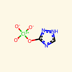 [O-][Cl+3]([O-])([O-])Oc1nc[nH]n1